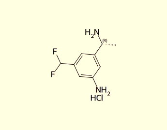 C[C@@H](N)c1cc(N)cc(C(F)F)c1.Cl